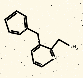 NCc1ncccc1Cc1ccccc1